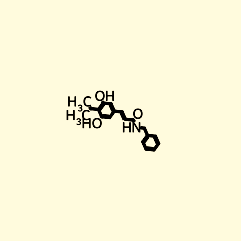 CC(C)c1c(O)cc(C=CC(=O)NCc2ccccc2)cc1O